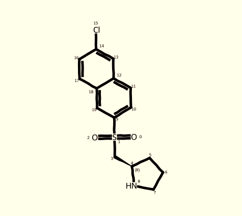 O=S(=O)(C[C@H]1CCCN1)c1ccc2cc(Cl)ccc2c1